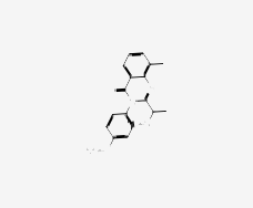 CNC(C)c1nc2c(C)cccc2c(=O)n1-c1ccc(OC)cc1